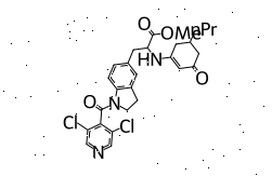 CCCC1CC(=O)C=C(NC(Cc2ccc3c(c2)CCN3C(=O)c2c(Cl)cncc2Cl)C(=O)OC)C1